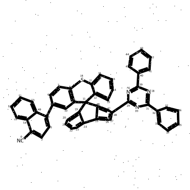 N#Cc1ccc(-c2ccc3c(c2)C2(c4ccccc4S3)c3ccccc3-c3ccc(-c4nc(-c5ccccc5)nc(-c5ccccc5)n4)cc32)c2ccccc12